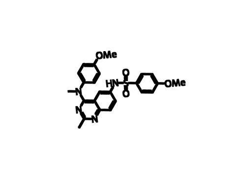 COc1ccc(N(C)c2nc(C)nc3ccc(NS(=O)(=O)c4ccc(OC)cc4)cc23)cc1